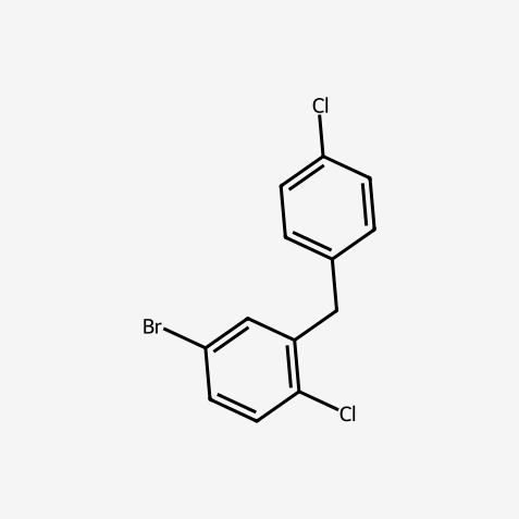 Clc1ccc(Cc2cc(Br)ccc2Cl)cc1